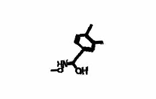 CONC(O)c1ccc(C)c(C)c1